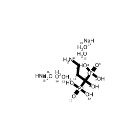 NCCC(O)(P(=O)(O)O)P(=O)(O)O.O.O.O.O.O.[NaH].[NaH]